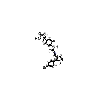 Cn1ncc(/C=C/C(=O)Nc2ccc(C(C)(C)P(=O)(O)O)cc2)c1-c1ccc(Br)cc1